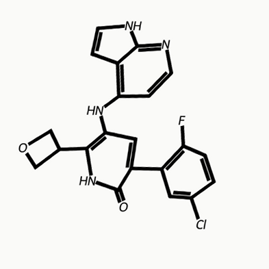 O=c1[nH]c(C2COC2)c(Nc2ccnc3[nH]ccc23)cc1-c1cc(Cl)ccc1F